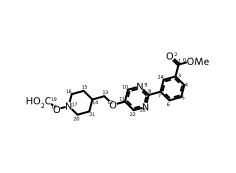 COC(=O)c1cccc(-c2ncc(OCC3CCN(OC(=O)O)CC3)cn2)c1